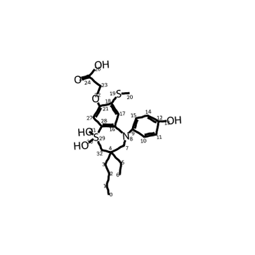 CCCCC1(CC)CN(c2ccc(O)cc2)c2cc(SC)c(OCC(=O)O)cc2S(O)(O)C1